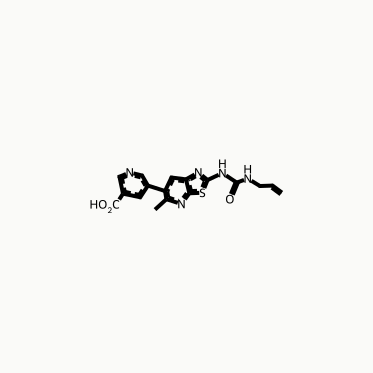 C=CCNC(=O)Nc1nc2cc(-c3cncc(C(=O)O)c3)c(C)nc2s1